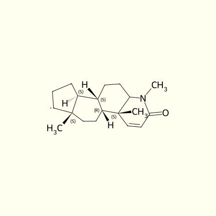 CN1C(=O)C=C[C@@]2(C)C1CC[C@@H]1[C@H]2CC[C@]2(C)[CH]CC[C@@H]12